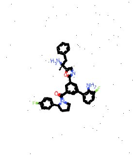 C[C@@](N)(Cc1ccccc1)c1cnc(-c2cc(C(=O)N3CCCC3c3ccc(F)cc3)cc(-c3cccc(F)c3N)c2)o1